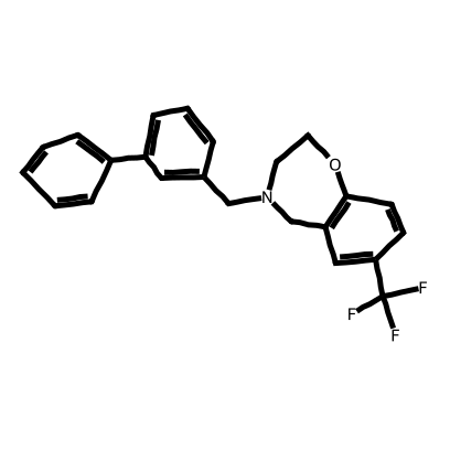 FC(F)(F)c1ccc2c(c1)CN(Cc1cccc(-c3ccccc3)c1)CCO2